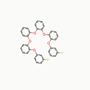 Fc1cccc(Oc2ccccc2Oc2ccccc2Oc2ccccc2Oc2ccccc2Oc2cccc(F)c2)c1